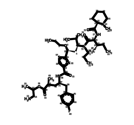 CCCO[C@H](C[C@H](C(C)C)N(CCC)C(=O)[C@@H](NC(=O)[C@H]1CCCCN1C)[C@@H](C)CC)c1nc(C(=O)N[C@@H](Cc2ccc(F)cc2)C[C@H](C)C(=O)OC(C)CN)cs1